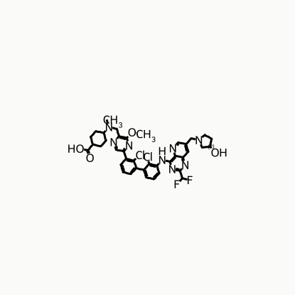 COc1nc(-c2cccc(-c3cccc(Nc4nc(C(F)F)nc5cc(CN6CC[C@@H](O)C6)cnc45)c3Cl)c2Cl)cnc1CN(C)C1CCC(C(=O)O)CC1